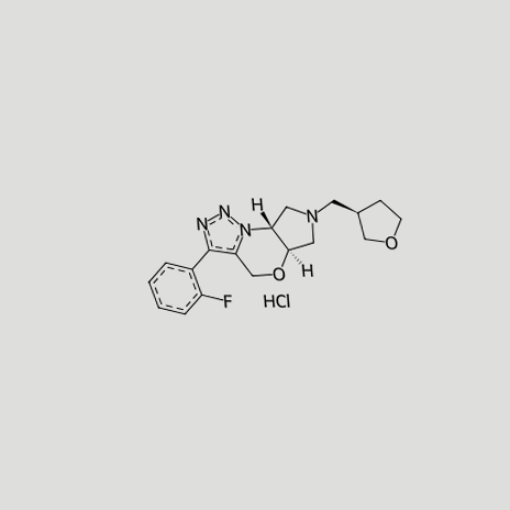 Cl.Fc1ccccc1-c1nnn2c1CO[C@@H]1CN(C[C@H]3CCOC3)C[C@H]12